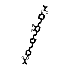 C=C(C)C(=O)Oc1ccc(/C=C/c2ccc(/C=C/c3ccc(/C=C/c4ccc(OC(=O)C(=C)C)cc4)c(F)c3F)cc2)cc1